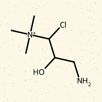 C[N+](C)(C)C(Cl)C(O)CN